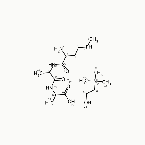 CPCCC(N)C(=O)NC(C)C(=O)NC(C)C(=O)O.C[N+](C)(C)CCO